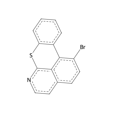 Brc1ccc2ccnc3c2c1-c1ccccc1S3